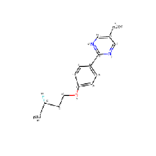 CCCCCCCCCCc1cnc(-c2ccc(OCCC(F)CCCC)cc2)nc1